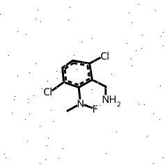 CN(F)c1c(Cl)ccc(Cl)c1CN